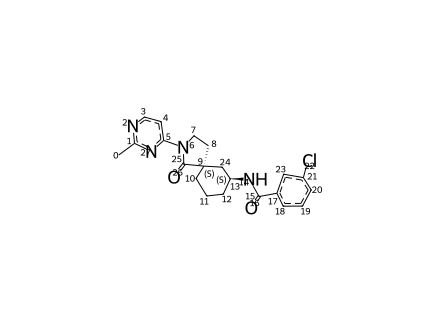 Cc1nccc(N2CC[C@]3(CCC[C@H](NC(=O)c4cccc(Cl)c4)C3)C2=O)n1